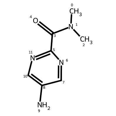 CN(C)C(=O)c1ncc(N)cn1